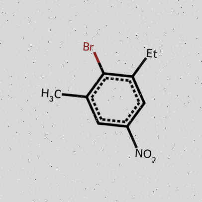 CCc1cc([N+](=O)[O-])cc(C)c1Br